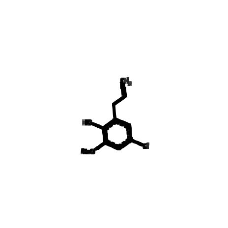 C=CCc1cc(Cl)cc(OC)c1O